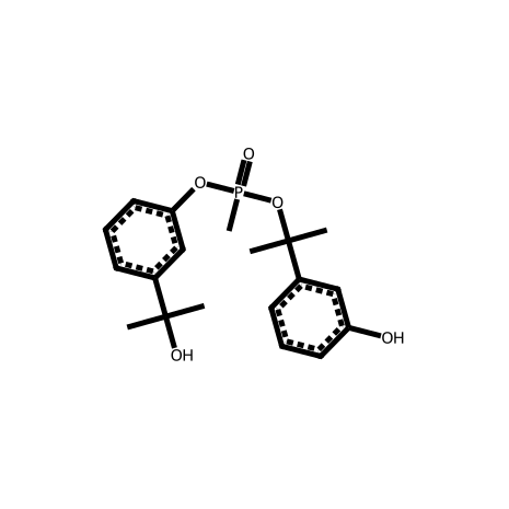 CC(C)(O)c1cccc(OP(C)(=O)OC(C)(C)c2cccc(O)c2)c1